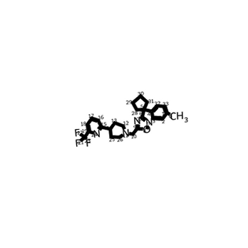 Cc1ccc(C2(c3noc(CN4CCC(c5cccc(C(F)(F)F)n5)CC4)n3)CCCC2)cc1